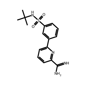 CC(C)(C)NS(=O)(=O)c1cccc(-c2cccc(C(=N)N)n2)c1